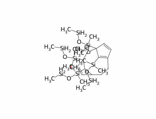 C[SiH2]O[Si](C)(C)C1=C2C=C[C]1([Si](C)(C)O[SiH2]C)[Zr]([Cl])([Cl])[C]1([Si](C)(C)O[SiH2]C)C=CC(=C1[Si](C)(C)O[SiH2]C)CC2